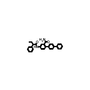 CCC(C(=O)Nc1ccc(-c2ccc(-c3ccccc3)cc2)c(C(N)=O)c1)c1ccccc1